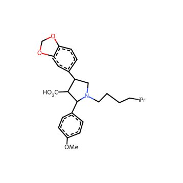 COc1ccc(C2C(C(=O)O)C(c3ccc4c(c3)OCO4)CN2CCCCC(C)C)cc1